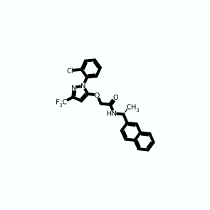 C[C@@H](NC(=O)COc1cc(C(F)(F)F)nn1-c1ccccc1Cl)c1ccc2ccccc2c1